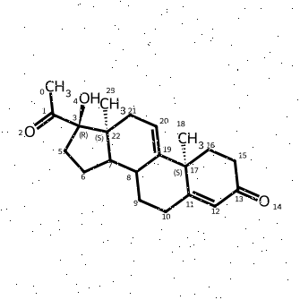 CC(=O)[C@@]1(O)CCC2C3CCC4=CC(=O)CC[C@]4(C)C3=CC[C@@]21C